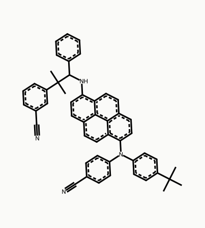 CC(C)(C)c1ccc(N(c2ccc(C#N)cc2)c2ccc3ccc4c(NC(c5ccccc5)C(C)(C)c5cccc(C#N)c5)ccc5ccc2c3c54)cc1